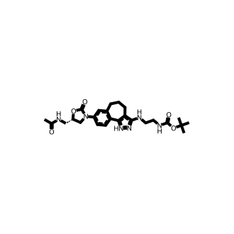 CC(=O)NC[C@H]1CN(c2ccc3c(c2)CCCc2c(NCCNC(=O)OC(C)(C)C)n[nH]c2-3)C(=O)O1